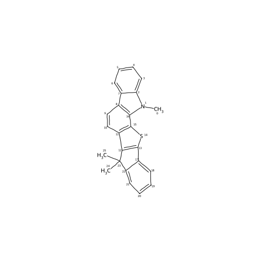 Cn1c2ccccc2c2ccc3c4c(sc3c21)-c1ccccc1C4(C)C